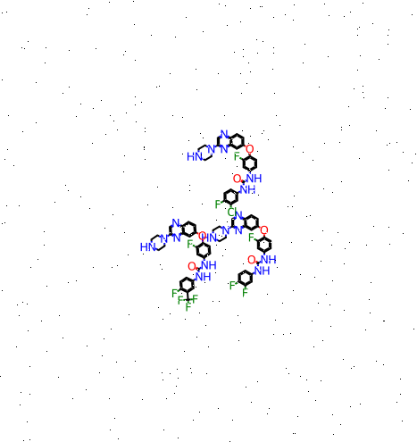 O=C(Nc1ccc(F)c(F)c1)Nc1ccc(Oc2ccc3ncc(N4CCNCC4)nc3c2)c(F)c1.O=C(Nc1ccc(Oc2ccc3ncc(N4CCNCC4)nc3c2)c(F)c1)Nc1ccc(F)c(C(F)(F)F)c1.O=C(Nc1ccc(Oc2ccc3ncc(N4CCNCC4)nc3c2)c(F)c1)Nc1ccc(F)c(Cl)c1